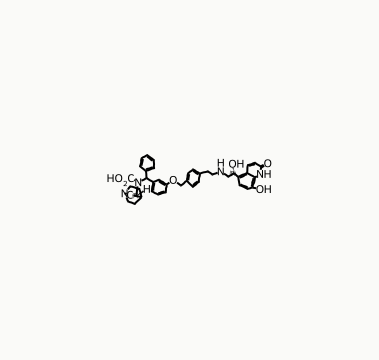 O=C(O)N(C(c1ccccc1)c1cccc(OCc2ccc(CCNC[C@H](O)c3ccc(O)c4[nH]c(=O)ccc34)cc2)c1)[C@H]1CN2CCC1CC2